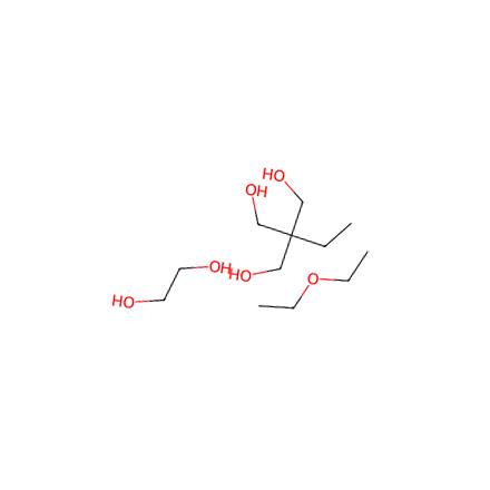 CCC(CO)(CO)CO.CCOCC.OCCO